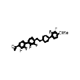 COc1ccc(C2CCC(CCc3ccc(-c4ccc(C5CO5)c(F)c4F)c(F)c3F)CC2)c(F)c1F